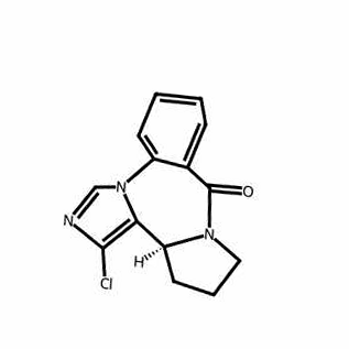 O=C1c2ccccc2-n2cnc(Cl)c2[C@@H]2CCCN12